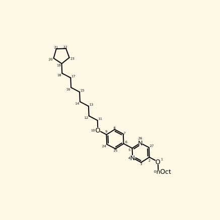 CCCCCCCCOc1cnc(-c2ccc(OCCCCCCCCC3CCCC3)cc2)nc1